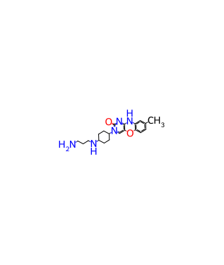 Cc1ccc2c(c1)Nc1nc(=O)n(C3CCC(NCCCN)CC3)cc1O2